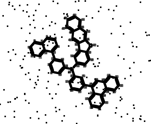 c1cc(-c2cccc3ccccc23)cc(N(c2cccc(-c3cc4ccccc4c4ccccc34)c2)c2ccc3oc4cc5cccnc5cc4c3c2)c1